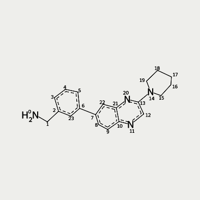 NCc1cccc(-c2ccc3ncc(N4CCCCC4)nc3c2)c1